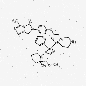 COC[C@]1(O)CCCC[C@H]1n1cnc(C(=O)N2CCNC[C@H]2CCOc2ccc(N3Cc4cnc(C)n4C3=O)cc2)c1-c1ccccc1